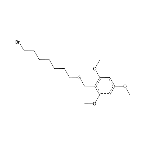 COc1cc(OC)c(CSCCCCCCCBr)c(OC)c1